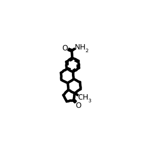 CC12CCC3c4ccc(C(N)=O)cc4CCC3C1CCC2=O